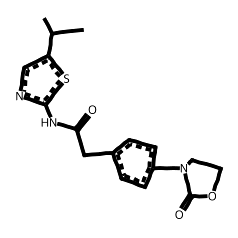 CC(C)c1cnc(NC(=O)Cc2ccc(N3CCOC3=O)cc2)s1